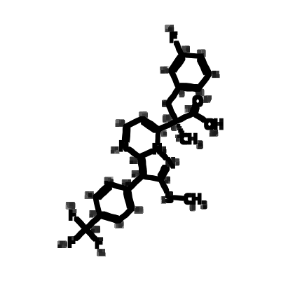 CSc1nn2c([C@@](C)(Cc3cccc(F)c3)C(=O)O)ccnc2c1-c1ccc(C(F)(F)F)cc1